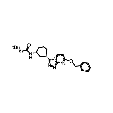 CC(C)(C)OC(=O)N[C@@H]1CCC[C@H](c2nnc3nc(OCc4ccccc4)ccn23)C1